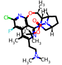 Cc1c(CCN(C)C)nc2c3c(nc(Cl)c(F)c13)O[C@@H](C)[C@@H]1[C@@H]3CC[C@H](CN21)N3C(=O)OC(C)(C)C